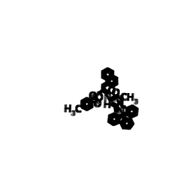 COC(=O)[C@H](Cc1cn(C(c2ccccc2)(c2ccccc2)c2ccccc2)cn1)NC(=O)[C@@H](COS(=O)(=O)c1ccc(C)cc1)Cc1cccc2ccccc12